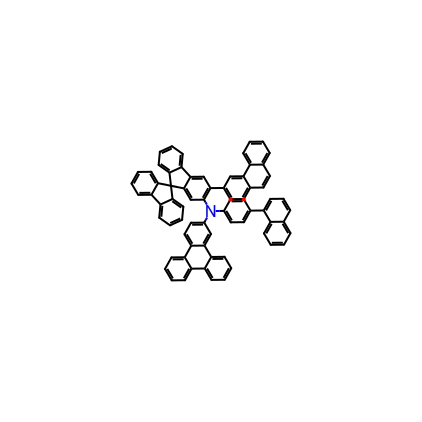 c1ccc2c(c1)-c1ccccc1C21c2ccccc2-c2cc(-c3ccc4ccc5ccccc5c4c3)c(N(c3ccc(-c4cccc5ccccc45)cc3)c3ccc4c5ccccc5c5ccccc5c4c3)cc21